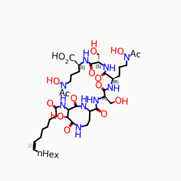 CCCCCC/C=C\CCCCCC(=O)NC1C(=O)NC(C(=O)N[C@H](CO)C(=O)N[C@H](CCCN(O)C(C)=O)C(=O)N[C@@H](CO)C(=O)N[C@@H](CCCN(O)C(C)=O)C(=O)O)CCNC(=O)C1O